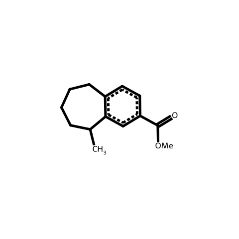 COC(=O)c1ccc2c(c1)C(C)CCCC2